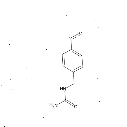 NC(=O)NCc1ccc([C]=O)cc1